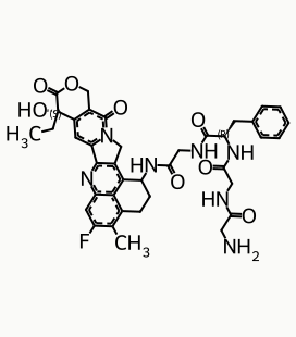 CC[C@@]1(O)C(=O)OCc2c1cc1n(c2=O)Cc2c-1nc1cc(F)c(C)c3c1c2C(NC(=O)CNC(=O)[C@@H](Cc1ccccc1)NC(=O)CNC(=O)CN)CC3